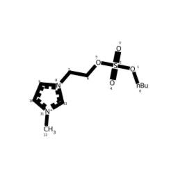 CCCCOS(=O)(=O)OCCn1cc[n+](C)c1